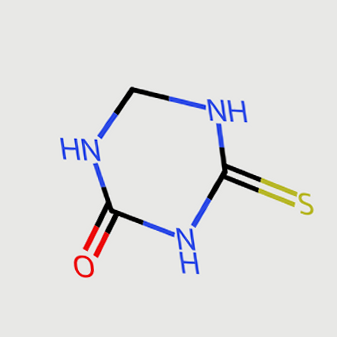 O=C1NCNC(=S)N1